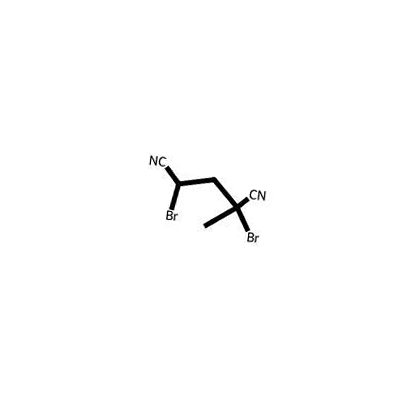 CC(Br)(C#N)CC(Br)C#N